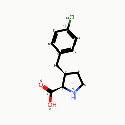 O=C(O)[C@@H]1NCC[C@@H]1Cc1ccc(Cl)cc1